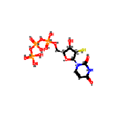 O=c1ccn([C@@H]2O[C@H](COP(=O)(O)OP(=O)(O)OP(=O)(O)O)[C@@H](O)[C@H]2S)c(=O)[nH]1